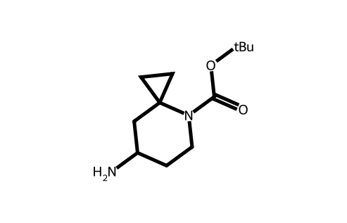 CC(C)(C)OC(=O)N1CCC(N)CC12CC2